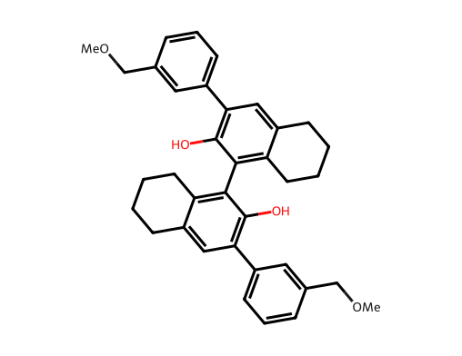 COCc1cccc(-c2cc3c(c(-c4c(O)c(-c5cccc(COC)c5)cc5c4CCCC5)c2O)CCCC3)c1